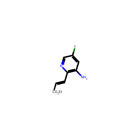 CCOC(=O)/C=C/c1ncc(F)cc1N